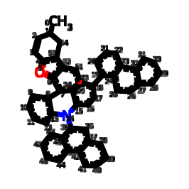 CC1C=Cc2oc3c(-c4ccccc4N(c4ccc(-c5cccc6c5ccc5ccccc56)cc4)c4cc5ccccc5c5ccccc45)cccc3c2C1